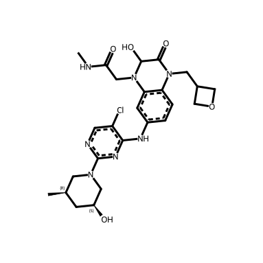 CNC(=O)CN1c2cc(Nc3nc(N4C[C@H](C)C[C@H](O)C4)ncc3Cl)ccc2N(CC2COC2)C(=O)C1O